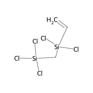 C=C[Si](Cl)(Cl)C[Si](Cl)(Cl)Cl